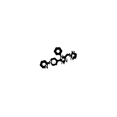 c1ccc(-n2c(Cn3nccn3)nnc2C2CCN(c3ccccn3)CC2)cc1